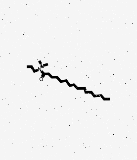 CCCCCCCCCCCCCCCC(=O)N(CCC)N(C)C